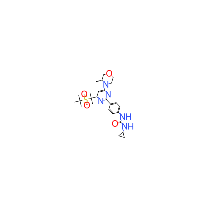 C[C@H]1COCCN1c1cc(C(C)(C)S(=O)(=O)C(C)(C)C)nc(-c2ccc(NC(=O)NC3CC3)cc2)n1